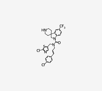 O=C(N(CC=Cc1ccc(Cl)cc1)Cc1cnc(Cl)s1)N1CC2(CCNCC2)c2cc(C(F)(F)F)ccc21